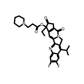 CCC1(OC(=O)CCN2CCCCC2)C(=O)Cc2c1cc1n(c2=O)Cc2c-1nc1cc(F)c(F)cc1c2C(C)C